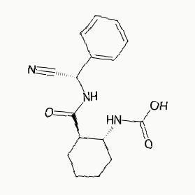 N#C[C@@H](NC(=O)[C@@H]1CCCC[C@H]1NC(=O)O)c1ccccc1